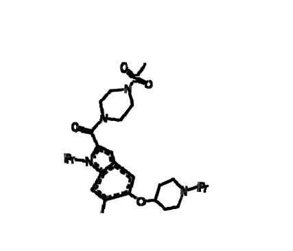 Cc1cc2c(cc1OC1CCN(C(C)C)CC1)cc(C(=O)N1CCN(S(C)(=O)=O)CC1)n2C(C)C